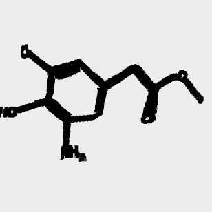 COC(=O)Cc1cc(N)c(O)c(Cl)c1